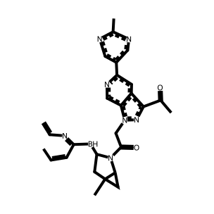 C=C/N=C(BC1CC2(C)CC2N1C(=O)Cn1nc(C(C)=O)c2cc(-c3cnc(C)nc3)ncc21)\C=C/C